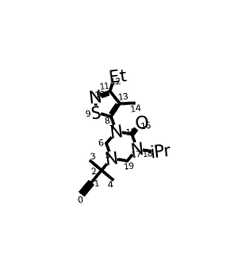 C#CC(C)(C)N1CN(c2snc(CC)c2C)C(=O)N(C(C)C)C1